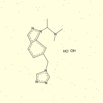 CC(N(C)C)n1ncc2ccc(Cn3cnnc3)cc21.Cl.Cl